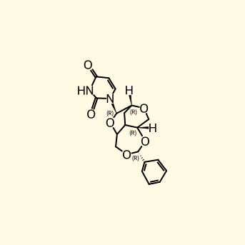 O=c1ccn([C@@H]2OC3CO[C@@H](c4ccccc4)O[C@H]4CO[C@@H]2CC34)c(=O)[nH]1